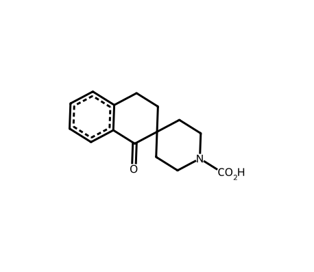 O=C(O)N1CCC2(CCc3ccccc3C2=O)CC1